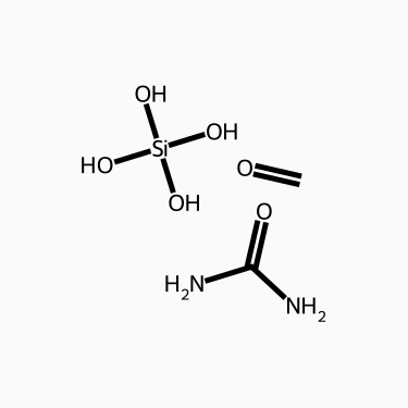 C=O.NC(N)=O.O[Si](O)(O)O